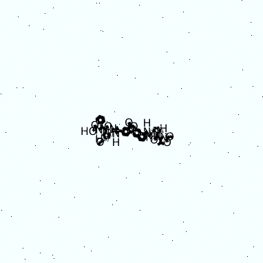 COC[C@H]1C[C@@H](c2ncc(-c3ccc4c(c3)c(=O)oc3cc5c(ccc6nc([C@@H]7CC[C@H](C)N7C(=O)C(NC(=O)OC)C(C)C)[nH]c65)cc34)[nH]2)N(C(=O)C(NC(=O)O)c2ccccc2)C1